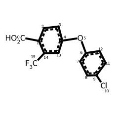 O=C(O)c1ccc(Oc2ccc(Cl)cc2)cc1C(F)(F)F